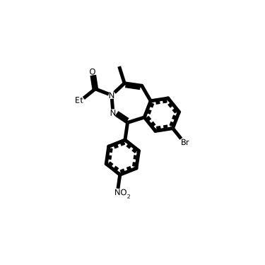 CCC(=O)N1N=C(c2ccc([N+](=O)[O-])cc2)c2cc(Br)ccc2C=C1C